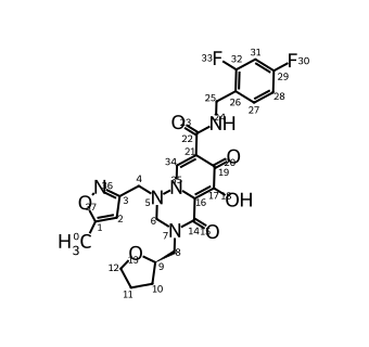 Cc1cc(CN2CN(C[C@H]3CCCO3)C(=O)c3c(O)c(=O)c(C(=O)NCc4ccc(F)cc4F)cn32)no1